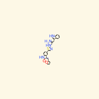 N[C@H](CNc1ncc(-c2ccc3c(c2)/C(=C/c2ccco2)C(=O)N3)s1)Cc1c[nH]c2ccccc12